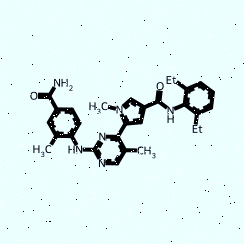 CCc1cccc(CC)c1NC(=O)c1cc(-c2nc(Nc3ccc(C(N)=O)cc3C)ncc2C)n(C)c1